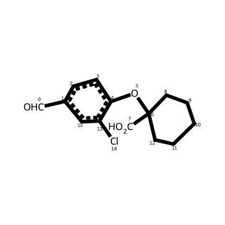 O=Cc1ccc(OC2(C(=O)O)CCCCC2)c(Cl)c1